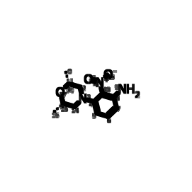 C[C@@H]1CN(c2cccc(N)c2[N+](=O)[O-])C[C@H](C)O1